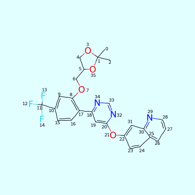 CC1(C)OCC(COc2cc(C(F)(F)F)ccc2-c2cc(Oc3ccc4cccnc4c3)ncn2)O1